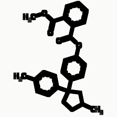 COC(=O)c1ccccc1C(=O)Oc1ccc(C2(c3ccc(C)cc3)CCC(C)C2)cc1